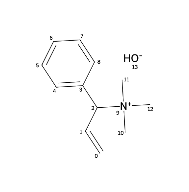 C=CC(c1ccccc1)[N+](C)(C)C.[OH-]